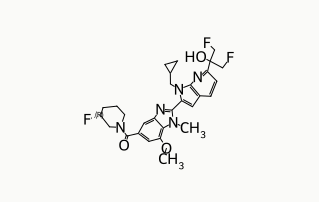 COc1cc(C(=O)N2CCC[C@@H](F)C2)cc2nc(-c3cc4ccc(C(O)(CF)CF)nc4n3CC3CC3)n(C)c12